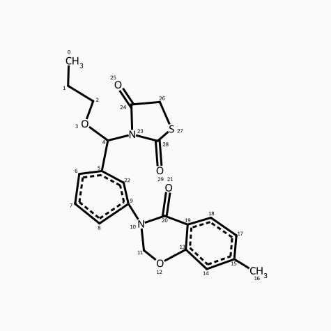 CCCOC(c1cccc(N2COc3cc(C)ccc3C2=O)c1)N1C(=O)CSC1=O